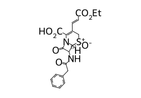 CCOC(=O)C=CC1=C(C(=O)O)N2C(=O)C(NC(=O)Cc3ccccc3)[C@@H]2[S+]([O-])C1